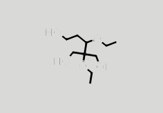 CCOC(CCO)C(CO)(CO)OCC